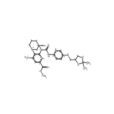 COC(=O)c1cc(C)c2c(n1)N(C(=O)Nc1ccc(OCC3COC(C)(C)O3)cn1)[C@H]1CCCN2C1